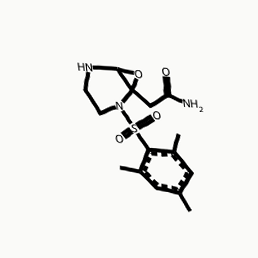 Cc1cc(C)c(S(=O)(=O)N2CCNC3OC32CC(N)=O)c(C)c1